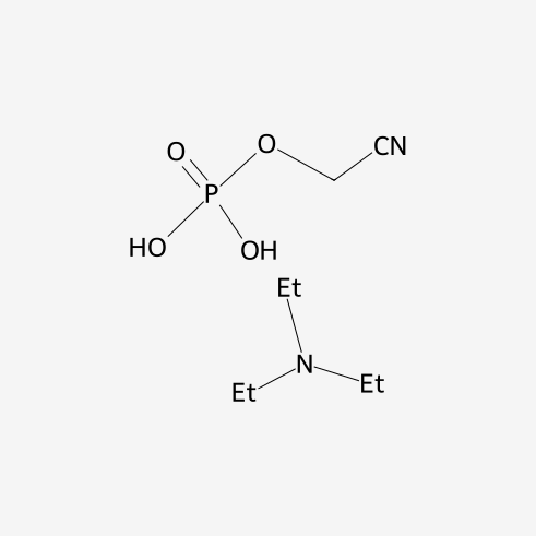 CCN(CC)CC.N#CCOP(=O)(O)O